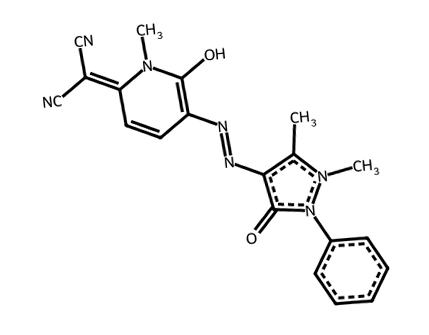 Cc1c(/N=N/C2=C(O)N(C)C(=C(C#N)C#N)C=C2)c(=O)n(-c2ccccc2)n1C